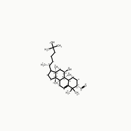 C[C@H](CCCC(C)(C)O)C1CC[C@@]2(C)C3CC=C4C(CC[C@H](N=O)C4(C)C)[C@]3(C)[C@H](O)C[C@]12C